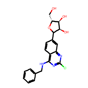 OC[C@H]1OC(c2ccc3c(NCc4ccccc4)nc(Cl)nc3c2)[C@H](O)[C@@H]1O